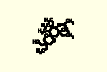 CCC1(CO)COC2(CC(C)(CC)N(OC(C)=O)C(C)(CC)C2C)OC1